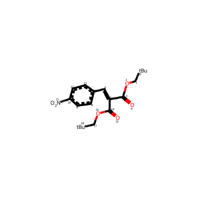 CC(C)(C)COC(=O)C(=Cc1ccc([N+](=O)[O-])cc1)C(=O)OCC(C)(C)C